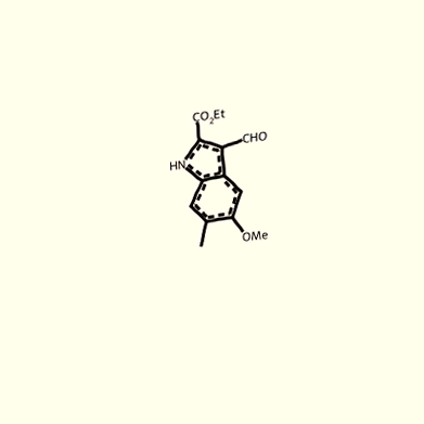 CCOC(=O)c1[nH]c2cc(C)c(OC)cc2c1C=O